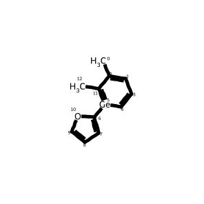 CC1=CC=[CH][Ge]([c]2ccco2)=[C]1C